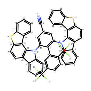 N#Cc1cc(-n2c3ccccc3c3ccc4sc5ccccc5c4c32)c(-c2cc(C(F)(F)F)ccc2C(F)(F)F)c(-n2c3ccccc3c3ccc4sc5ccccc5c4c32)c1